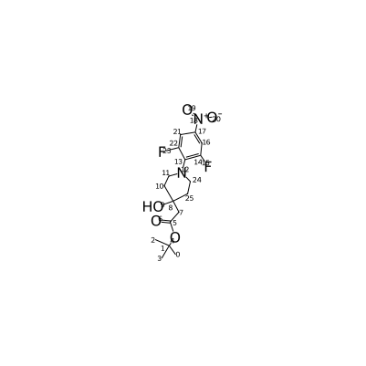 CC(C)(C)OC(=O)CC1(O)CCN(c2c(F)cc([N+](=O)[O-])cc2F)CC1